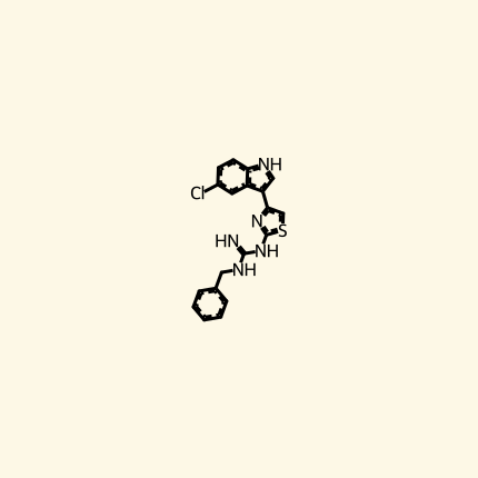 N=C(NCc1ccccc1)Nc1nc(-c2c[nH]c3ccc(Cl)cc23)cs1